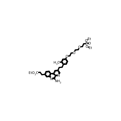 CCOC(=O)CCc1ccc2c(c1)nc(N)c1ncc(CCc3ccc(OCCOCCOCCP(=O)(OCC)OCC)cc3C)cc12